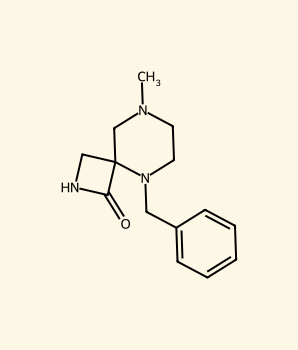 CN1CCN(Cc2ccccc2)C2(CNC2=O)C1